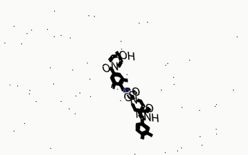 Cc1ccc(C2=NC3(CCN(S(=O)(=O)/C=C/c4c(C)cc(C(=O)N5CCC(C)(O)CC5)cc4C)CC3)C(=O)N2)cc1C